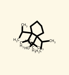 CC(C)C1(C(C)C)CCCCC1(C(C)C)C(C)(C)O